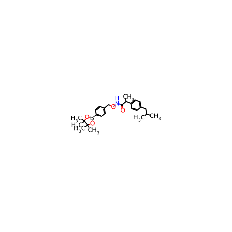 CC(C)Cc1ccc(C(C)C(=O)NOCc2ccc(B3OC(C)(C)C(C)(C)O3)cc2)cc1